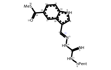 CCCCCNC(=N)N/N=C/c1c[nH]c2ccc(C(=O)SC)cc12